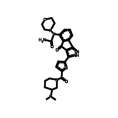 CN(C)C1CCCN(C(=O)c2ccc(-c3[nH]nc4c3C(=O)c3c-4cccc3N(C(N)=O)N3CCOCC3)s2)C1